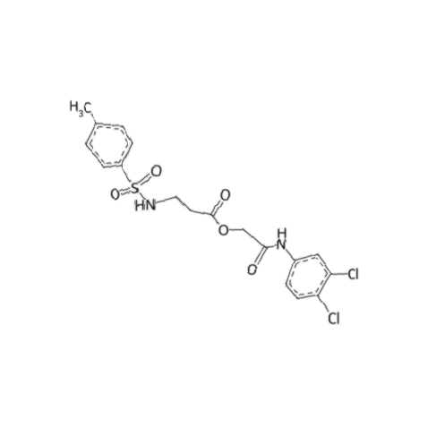 Cc1ccc(S(=O)(=O)NCCC(=O)OCC(=O)Nc2ccc(Cl)c(Cl)c2)cc1